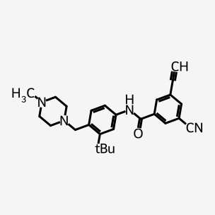 C#Cc1cc(C#N)cc(C(=O)Nc2ccc(CN3CCN(C)CC3)c(C(C)(C)C)c2)c1